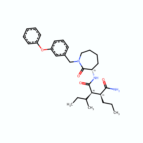 CCC[C@H](C(N)=O)[C@H](C(=O)N[C@H]1CCCCN(Cc2cccc(Oc3ccccc3)c2)C1=O)C(C)CC